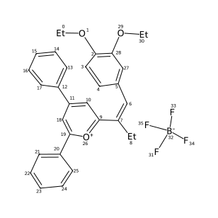 CCOc1ccc(C=C(CC)c2cc(-c3ccccc3)cc(-c3ccccc3)[o+]2)cc1OCC.F[B-](F)(F)F